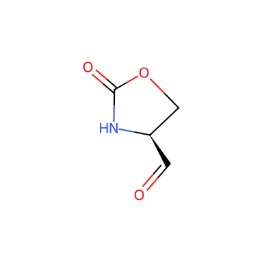 O=C[C@@H]1COC(=O)N1